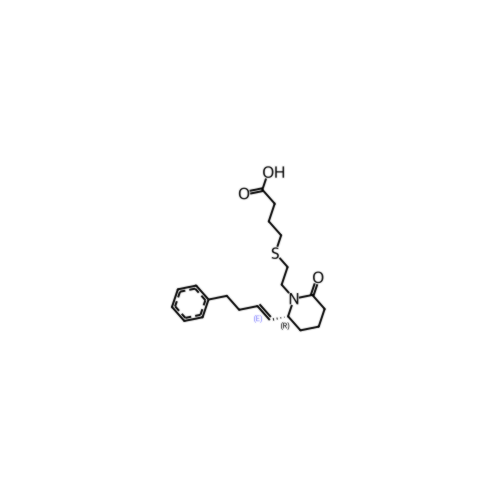 O=C(O)CCCSCCN1C(=O)CCC[C@@H]1/C=C/CCc1ccccc1